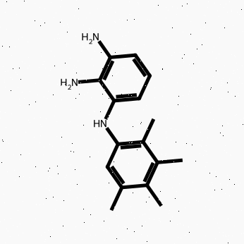 Cc1cc(Nc2cccc(N)c2N)c(C)c(C)c1C